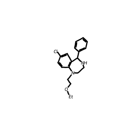 CCOCCN1CCNC(c2ccccc2)c2cc(Cl)ccc21